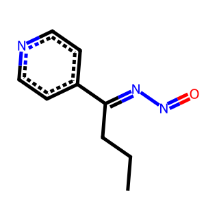 CCCC(=NN=O)c1ccncc1